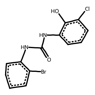 O=C(Nc1ccccc1Br)Nc1cccc(Cl)c1O